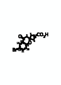 O=C1CC2(CN(C(=O)O)C2)Oc2ccc(Br)cc21